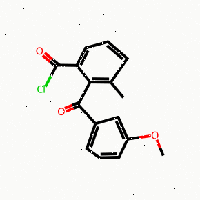 COc1cccc(C(=O)c2c(C)cccc2C(=O)Cl)c1